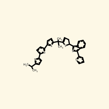 CC(C)c1ccc(-c2ccc(-c3ccc(C(C)(C)C4=CCC(c5sc(-c6cccs6)c6ccccc56)S4)s3)s2)s1